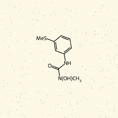 CSc1cccc(NC(=O)N(C)O)c1